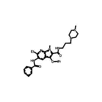 CCc1nc2c(cc1NC(=O)c1ccccc1)c(OC(C)C)c(C(=O)NCCCN1CCN(C)CC1)n2C